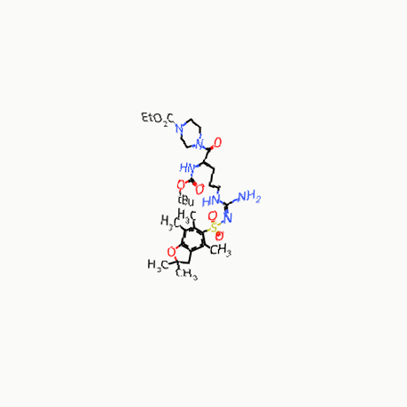 CCOC(=O)N1CCN(C(=O)C(CCCNC(N)=NS(=O)(=O)c2c(C)c(C)c3c(c2C)CC(C)(C)O3)NC(=O)OC(C)(C)C)CC1